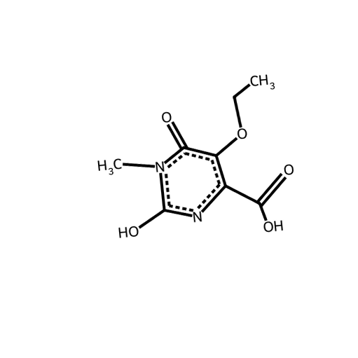 CCOc1c(C(=O)O)nc(O)n(C)c1=O